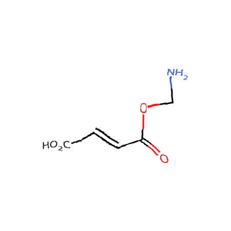 NCOC(=O)C=CC(=O)O